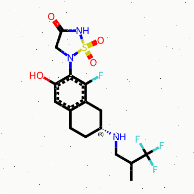 CC(CN[C@@H]1CCc2cc(O)c(N3CC(=O)NS3(=O)=O)c(F)c2C1)C(F)(F)F